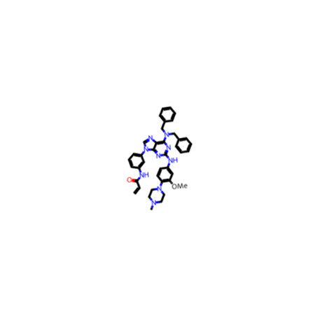 C=CC(=O)Nc1cccc(-n2cnc3c(N(Cc4ccccc4)Cc4ccccc4)nc(Nc4ccc(N5CCN(C)CC5)c(OC)c4)nc32)c1